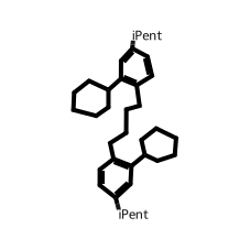 CCCC(C)c1ccc(CCCCc2ccc(C(C)CCC)cc2C2CCCCC2)c(C2CCCCC2)c1